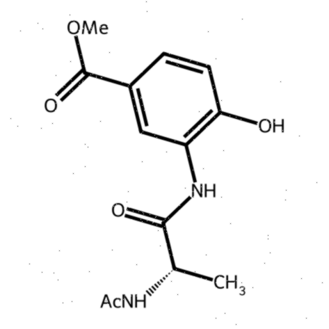 COC(=O)c1ccc(O)c(NC(=O)[C@H](C)NC(C)=O)c1